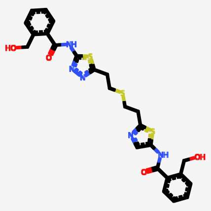 O=C(Nc1cnc(CCSCCc2nnc(NC(=O)c3ccccc3CO)s2)s1)c1ccccc1CO